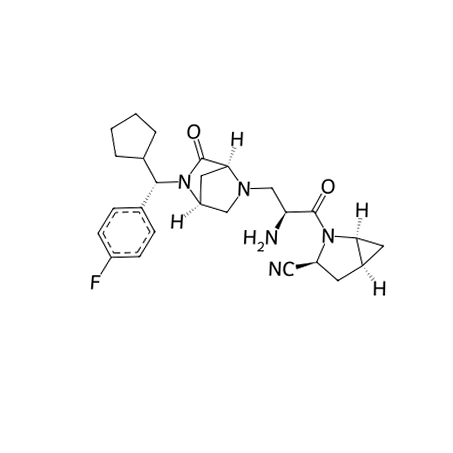 N#C[C@@H]1C[C@@H]2C[C@@H]2N1C(=O)[C@@H](N)CN1C[C@@H]2C[C@H]1C(=O)N2[C@H](c1ccc(F)cc1)C1CCCC1